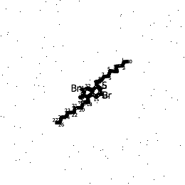 CCCCCCCCc1cc2c(s1)c(Br)cc1c3cc(CCCCCCCC)sc3c(Br)cc21